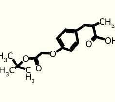 CC(Cc1ccc(OCC(=O)OC(C)(C)C)cc1)C(=O)O